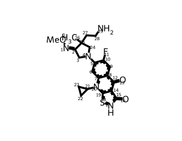 CON=C1CN(c2cc3c(cc2F)c(=O)c2c(=O)[nH]sc2n3C2CC2)CC1(C)CCN